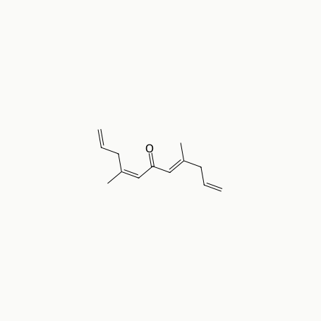 C=CCC(C)=CC(=O)C=C(C)CC=C